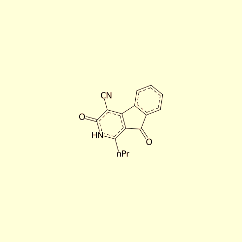 CCCc1[nH]c(=O)c(C#N)c2c1C(=O)c1ccccc1-2